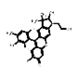 Cc1cc(C)c(-c2c3cc(F)c(=O)cc-3oc3cc4c(cc23)C(C)(C)C(C)N4CCO)c(C)c1C